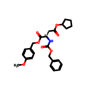 COc1ccc(COC(=O)[C@H](CC(=O)OC2CCCC2)NC(=O)OCc2ccccc2)cc1